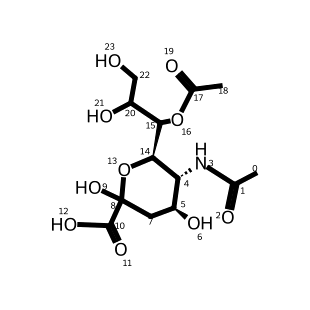 CC(=O)N[C@@H]1[C@@H](O)CC(O)(C(=O)O)O[C@H]1C(OC(C)=O)C(O)CO